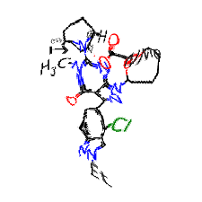 CCn1cc2c(Cl)c(-c3nn(C4CCCCO4)c4nc(N5[C@H]6CC[C@@H]5[C@H](OC(=O)NC)C6)n(C)c(=O)c34)ccc2n1